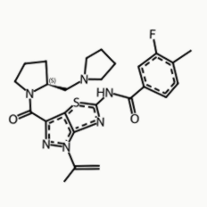 C=C(C)n1nc(C(=O)N2CCC[C@H]2CN2CCCC2)c2sc(NC(=O)c3ccc(C)c(F)c3)nc21